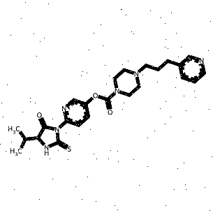 CC(C)C1NC(=S)N(c2ccc(OC(=O)N3CCN(CCCc4cccnc4)CC3)cn2)C1=O